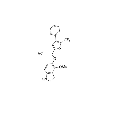 COc1c(OCc2cc(-c3ccccc3)c(C(F)(F)F)s2)ccc2c1CCN2.Cl